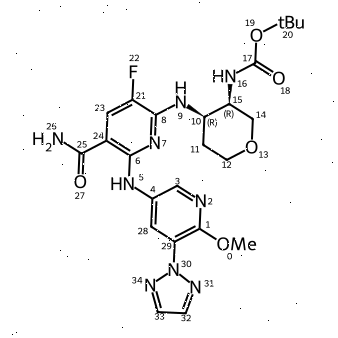 COc1ncc(Nc2nc(N[C@@H]3CCOC[C@@H]3NC(=O)OC(C)(C)C)c(F)cc2C(N)=O)cc1-n1nccn1